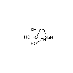 N#CO.O=C(O)OO.[KH].[NaH]